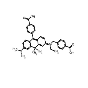 CC/[N+](Cc1ccc(C(=O)O)cc1)=C1/C=CC2=C(c3ccc(C(=O)O)cc3)c3ccc(N(C)C)cc3C(C)(C)C2=C1